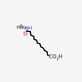 CCCCNC(=O)CCCCCCCCCCCCC(=O)O